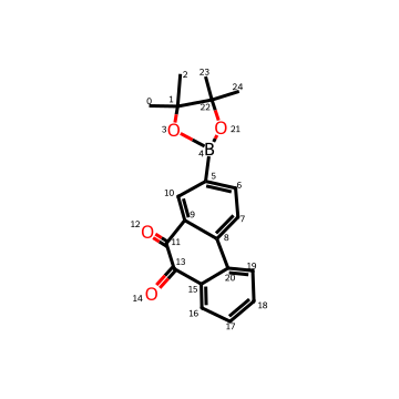 CC1(C)OB(c2ccc3c(c2)C(=O)C(=O)c2ccccc2-3)OC1(C)C